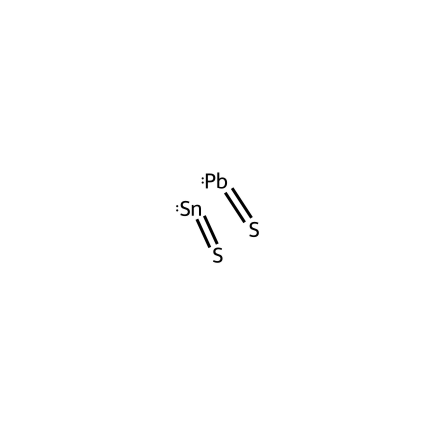 [S]=[Pb].[S]=[Sn]